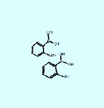 CC(C)(C)c1ccccc1B(O)O.COc1ccccc1B(O)O